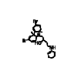 CC12C=C(Br)C=CC1N(CC(O)CCNC1=CCCC=C1)C1(C)CC=C(Br)C=C21